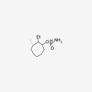 CCC1C(O[PH](N)=O)CCCCC[C@@H]1C